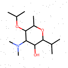 CC(C)OC1C(C)OC(C(C)C)C(O)C1N(C)C